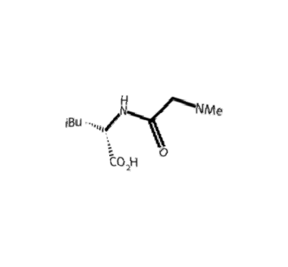 CC[C@@H](C)[C@H](NC(=O)CNC)C(=O)O